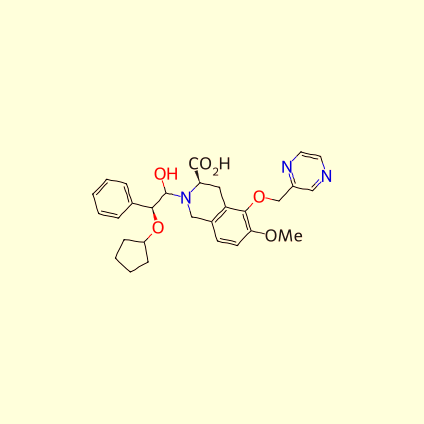 COc1ccc2c(c1OCc1cnccn1)C[C@H](C(=O)O)N(C(O)[C@@H](OC1CCCC1)c1ccccc1)C2